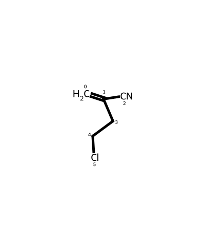 C=C(C#N)CCCl